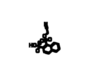 N#CCOS(=O)(=O)c1c(S(=O)(=O)O)ccc2ccccc12